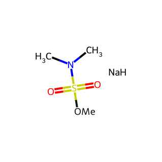 COS(=O)(=O)N(C)C.[NaH]